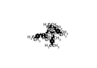 CC(C=NC(C(=O)OC(COC(=O)C(/N=C\C(C)Cc1ccc(C(C)C)cc1)C(C)C)COC(=O)C(/N=C/C(C)Cc1ccc(C(C)C)cc1)C(C)C)C(C)C)Cc1ccc(C(C)C)cc1